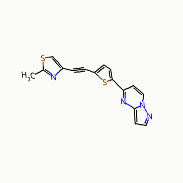 Cc1nc(C#Cc2ccc(-c3ccn4nccc4n3)s2)cs1